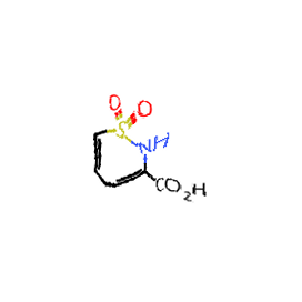 O=C(O)C1=CC=CS(=O)(=O)N1